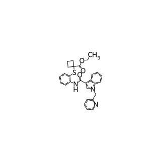 CCOC(=O)C1(Sc2ccccc2NC(=O)c2cn(Cc3ccccn3)c3ccccc23)CCC1